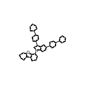 c1ccc(-c2ccc(-c3ccc4c(c3)c(-c3ccc(-c5ccccc5)cc3)cn4-c3cccc4c3oc3ccccc34)cc2)cc1